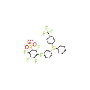 FC(F)(F)c1ccc([S+](c2ccccc2)c2ccccc2)cc1.O=S(=O)([O-])c1c(F)c(F)c(F)c(F)c1F